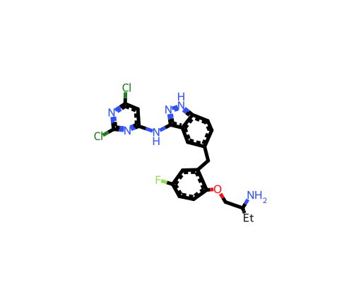 CCC(N)COc1ccc(F)cc1Cc1ccc2[nH]nc(Nc3cc(Cl)nc(Cl)n3)c2c1